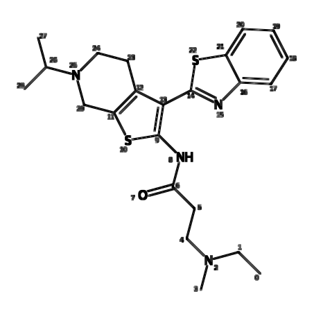 CCN(C)CCC(=O)Nc1sc2c(c1-c1nc3ccccc3s1)CCN(C(C)C)C2